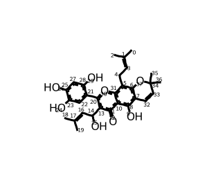 CC(C)=CCc1c2c(c(O)c3c(=O)c(C(O)C=C(C)C)c(-c4cc(O)c(O)cc4O)oc13)C=CC(C)(C)O2